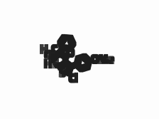 COc1ccc(-c2c(Cl)sc3c2C(=O)C(C)(c2ccccc2)C(=O)N3)cc1